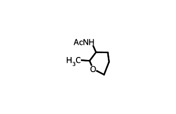 CC(=O)NC1CCCOC1C